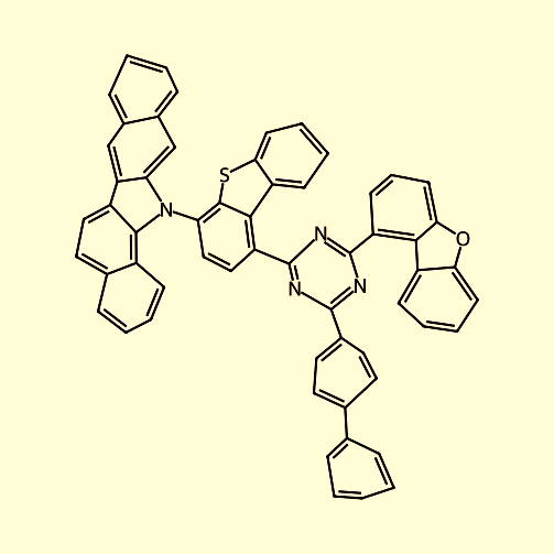 c1ccc(-c2ccc(-c3nc(-c4cccc5oc6ccccc6c45)nc(-c4ccc(-n5c6cc7ccccc7cc6c6ccc7ccccc7c65)c5sc6ccccc6c45)n3)cc2)cc1